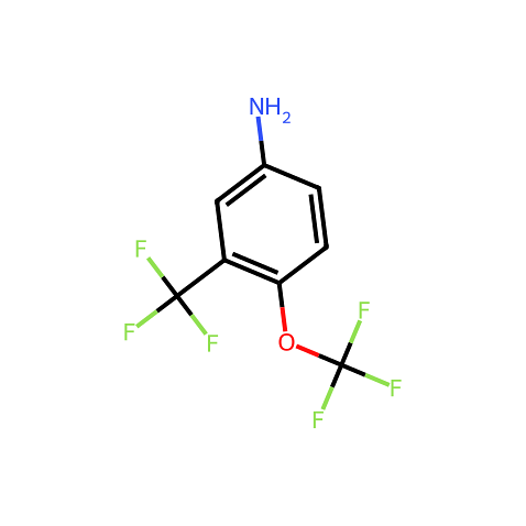 Nc1ccc(OC(F)(F)F)c(C(F)(F)F)c1